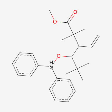 C=CC(C(O[SiH](c1ccccc1)c1ccccc1)C(C)(C)C)C(C)(C)C(=O)OC